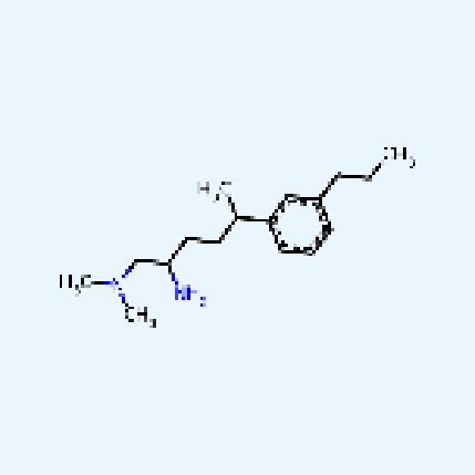 CCCc1cccc(C(C)CCC(N)CN(C)C)c1